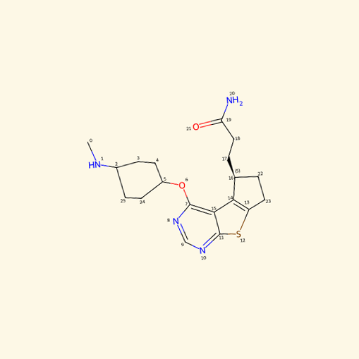 CNC1CCC(Oc2ncnc3sc4c(c23)[C@@H](CCC(N)=O)CC4)CC1